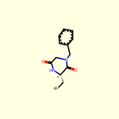 CC(C)C[C@@H]1NC(=O)CN(Cc2ccccc2)C1=O